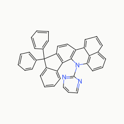 c1ccc(C2(c3ccccc3)c3ccccc3-c3c2ccc2c3N(c3ncccn3)c3cccc4cccc-2c34)cc1